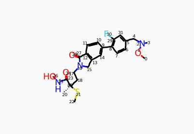 CON(C)Cc1ccc(-c2ccc3c(c2)CN(CC[C@@](C)(SC)C(=O)NO)C3=O)c(F)c1